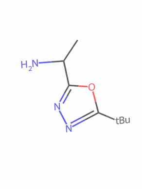 CC(N)c1nnc(C(C)(C)C)o1